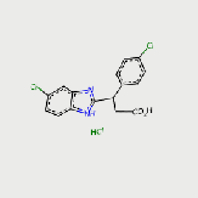 Cl.O=C(O)CC(c1ccc(Cl)cc1)c1nc2cc(Cl)ccc2[nH]1